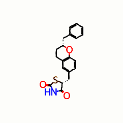 O=C1NC(=O)[C@@H](Cc2ccc3c(c2)CC[C@H](Cc2ccccc2)O3)S1